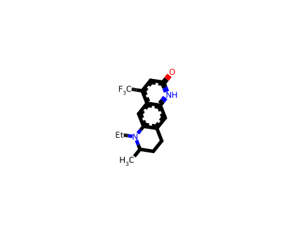 CCN1c2cc3c(C(F)(F)F)cc(=O)[nH]c3cc2CCC1C